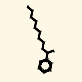 CCCCCCCCCC(C)c1ccccc1